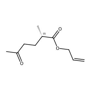 C=CCOC(=O)[C@@H](C)CCC(C)=O